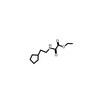 CCOC(=O)C(=O)NCCC1CCCC1